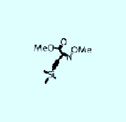 CON=C(C#C[Si](C)(C)C)C(=O)OC